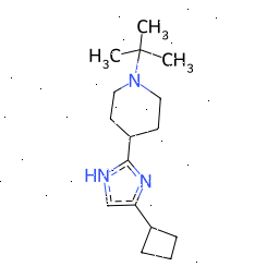 CC(C)(C)N1CCC(c2nc(C3CCC3)c[nH]2)CC1